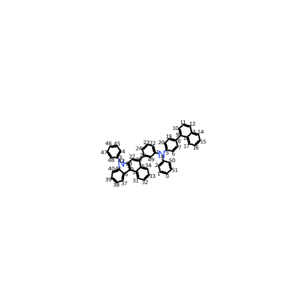 c1ccc(N(c2ccc(-c3cccc4ccccc34)cc2)c2cccc(-c3cc4c(c5ccccc35)c3ccccc3n4-c3ccccc3)c2)cc1